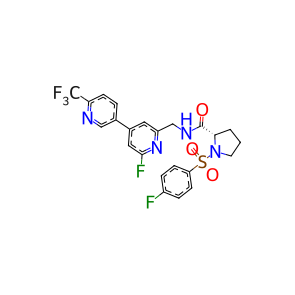 O=C(NCc1cc(-c2ccc(C(F)(F)F)nc2)cc(F)n1)[C@@H]1CCCN1S(=O)(=O)c1ccc(F)cc1